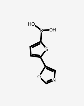 OB(O)c1ccc(-c2cnco2)s1